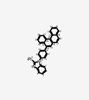 CC(C)c1nc2ccccc2n1-c1ccc(-c2cc3ccc4ccccc4c3c3ccccc23)cc1